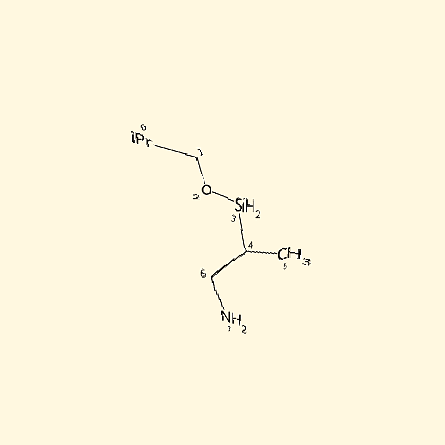 CC(C)CO[SiH2]C(C)CN